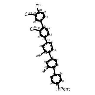 CCCCCc1ccc(-c2ccc(-c3ccc(-c4ccc(-c5ccc(F)c(Cl)c5)c(Cl)c4)cc3F)cc2F)cc1